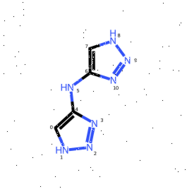 c1[nH]nnc1Nc1c[nH]nn1